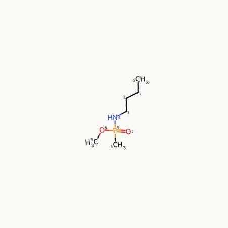 CCCCNP(C)(=O)OC